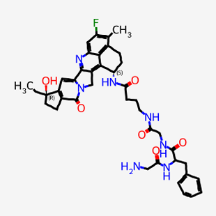 CC[C@@]1(O)CCc2c1cc1n(c2=O)Cc2c-1nc1cc(F)c(C)c3c1c2[C@@H](NC(=O)CCCNC(=O)CNC(=O)C(Cc1ccccc1)NC(=O)CN)CC3